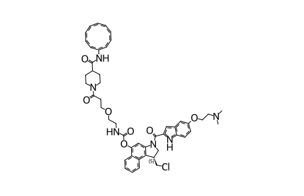 CN(C)CCOc1ccc2[nH]c(C(=O)N3C[C@@H](CCl)c4c3cc(OC(=O)NCCOCCC(=O)N3CCC(C(=O)Nc5ccccccccc5)CC3)c3ccccc43)cc2c1